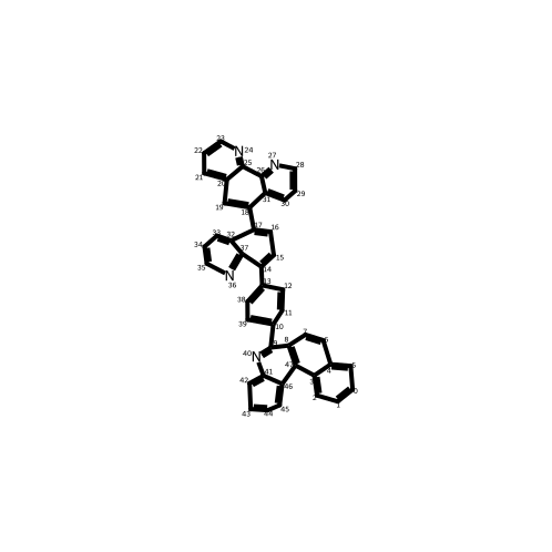 c1ccc2c(c1)ccc1c(-c3ccc(-c4ccc(-c5cc6cccnc6c6ncccc56)c5cccnc45)cc3)nc3ccccc3c12